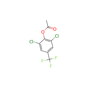 CC(=O)Oc1c(Cl)cc(C(F)(F)F)cc1Cl